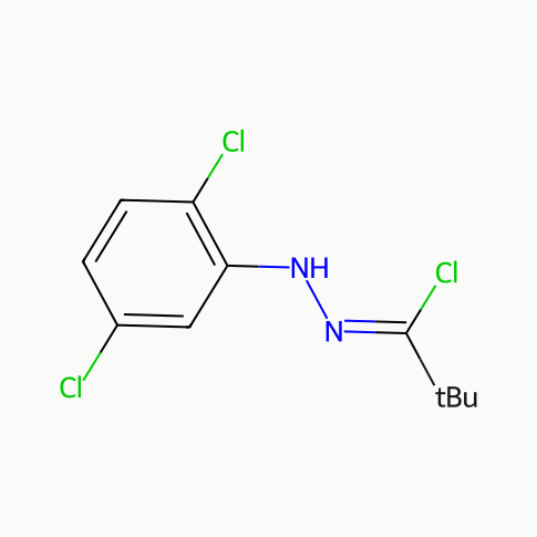 CC(C)(C)C(Cl)=NNc1cc(Cl)ccc1Cl